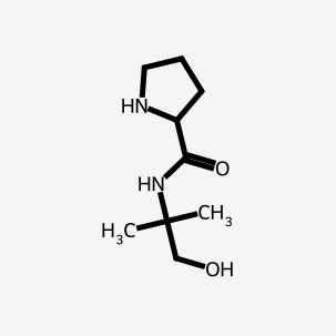 CC(C)(CO)NC(=O)C1CCCN1